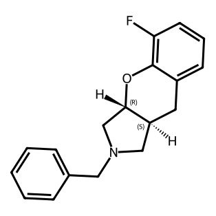 Fc1cccc2c1O[C@H]1CN(Cc3ccccc3)C[C@@H]1C2